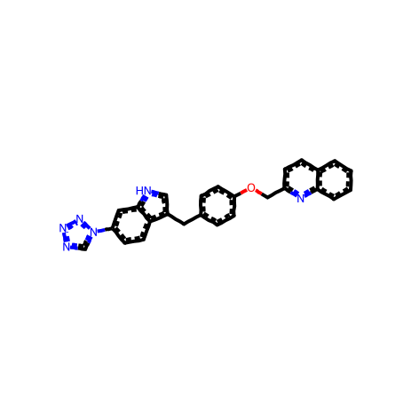 c1ccc2nc(COc3ccc(Cc4c[nH]c5cc(-n6cnnn6)ccc45)cc3)ccc2c1